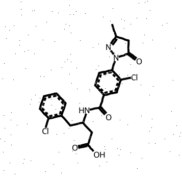 CC1=NN(c2ccc(C(=O)NC(CC(=O)O)Cc3ccccc3Cl)cc2Cl)C(=O)C1